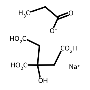 CCC(=O)[O-].O=C(O)CC(O)(CC(=O)O)C(=O)O.[Na+]